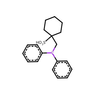 O=S(=O)(O)C1(C[I+](c2ccccc2)c2ccccc2)CCCCC1